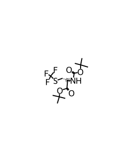 CC(C)(C)OC(=O)N[C@@H](CSC(F)(F)F)C(=O)OC(C)(C)C